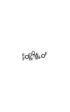 C[C@@H]1CN(C(=O)COc2cc(F)c(F)cc2Br)[C@@H](C)CN1Cc1ccc(F)cc1